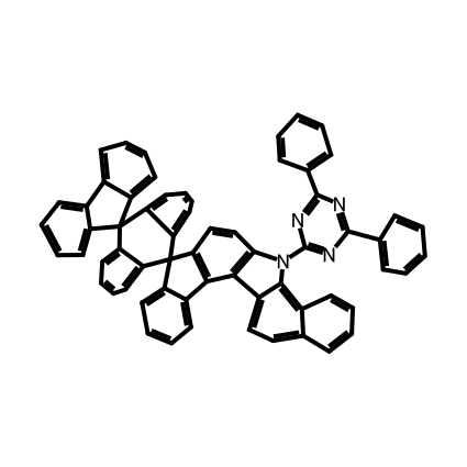 c1ccc(-c2nc(-c3ccccc3)nc(-n3c4ccc5c(c4c4ccc6ccccc6c43)-c3ccccc3C53c4ccccc4C4(c5ccccc5-c5ccccc54)c4ccccc43)n2)cc1